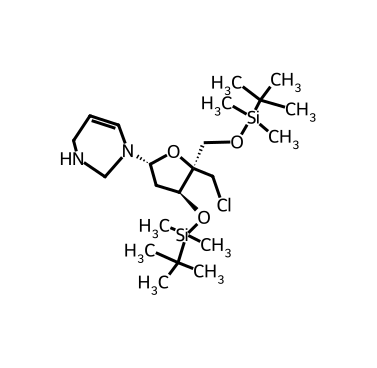 CC(C)(C)[Si](C)(C)OC[C@@]1(CCl)O[C@@H](N2C=CCNC2)C[C@@H]1O[Si](C)(C)C(C)(C)C